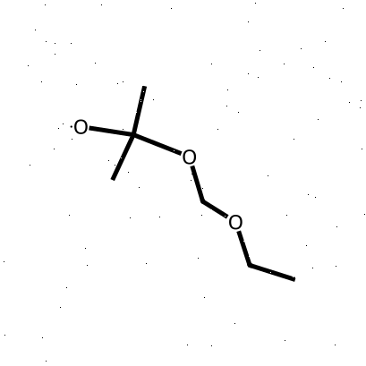 CCOCOC(C)(C)[O]